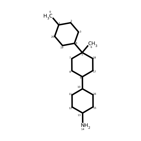 CC1CCC(C2(C)CCC(C3CCC(N)CC3)CC2)CC1